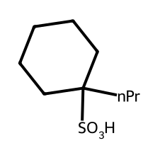 CCCC1(S(=O)(=O)O)CCCCC1